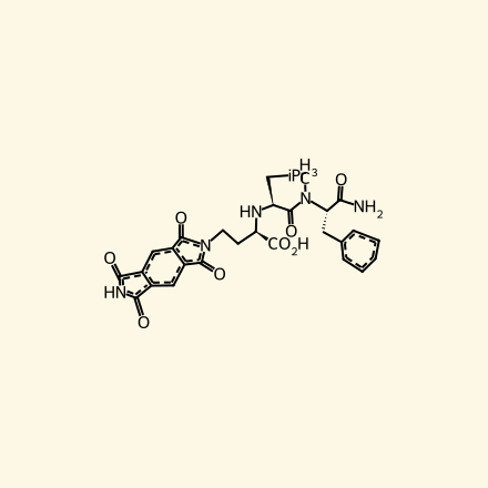 CC(C)C[C@H](N[C@H](CCn1c(=O)c2cc3c(=O)[nH]c(=O)c3cc2c1=O)C(=O)O)C(=O)N(C)[C@@H](Cc1ccccc1)C(N)=O